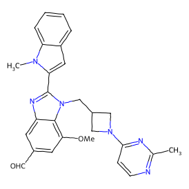 COc1cc(C=O)cc2nc(-c3cc4ccccc4n3C)n(CC3CN(c4ccnc(C)n4)C3)c12